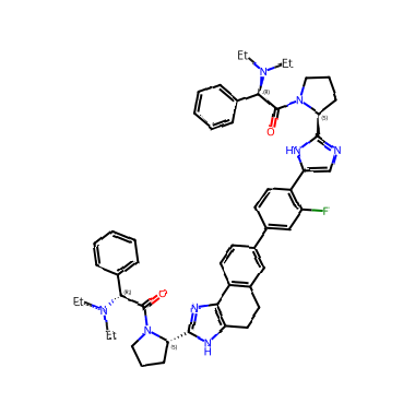 CCN(CC)[C@@H](C(=O)N1CCC[C@H]1c1ncc(-c2ccc(-c3ccc4c(c3)CCc3[nH]c([C@@H]5CCCN5C(=O)[C@@H](c5ccccc5)N(CC)CC)nc3-4)cc2F)[nH]1)c1ccccc1